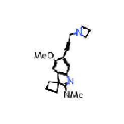 CNC1=Nc2cc(C#CCN3CCC3)c(OC)cc2C12CCC2